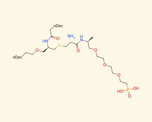 CCCCCCCCCCCCOC[C@H](CSC[C@H](N)C(=O)N[C@@H](C)COCCOCCOCCP(=O)(O)O)NC(=O)CCCCCCCCCCC